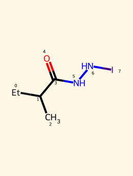 CCC(C)C(=O)NNI